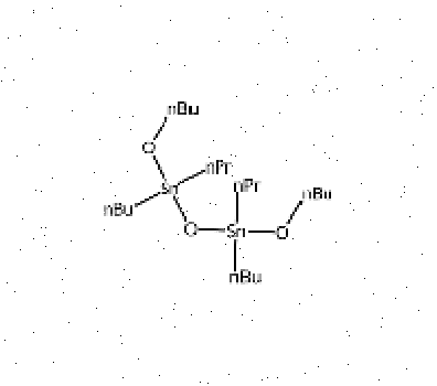 CCCC[O][Sn]([CH2]CC)([CH2]CCC)[O][Sn]([CH2]CC)([CH2]CCC)[O]CCCC